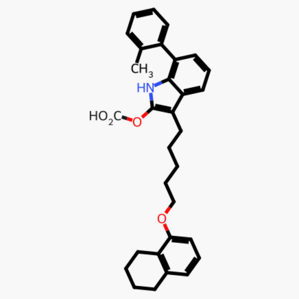 Cc1ccccc1-c1cccc2c(CCCCCOc3cccc4c3CCCC4)c(OC(=O)O)[nH]c12